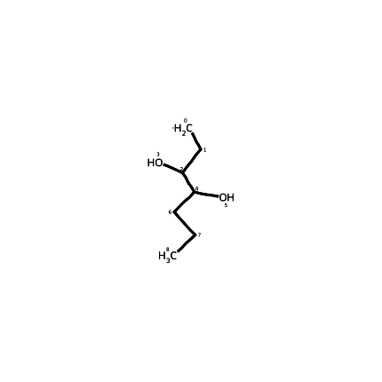 [CH2]CC(O)C(O)CCC